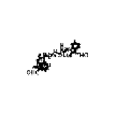 C=C(Cn1c(C)c(C=O)c2ccccc21)NCCSSCCNC(=O)Cn1c(C)c(C=O)c2ccccc21